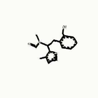 Cc1ccsc1C(Cc1ccccc1O)N(C)C=O